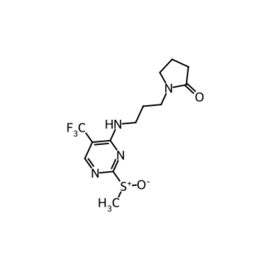 C[S+]([O-])c1ncc(C(F)(F)F)c(NCCCN2CCCC2=O)n1